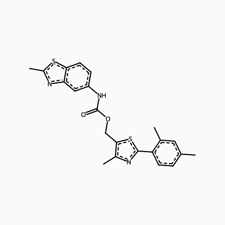 Cc1ccc(-c2nc(C)c(COC(=O)Nc3ccc4sc(C)nc4c3)s2)c(C)c1